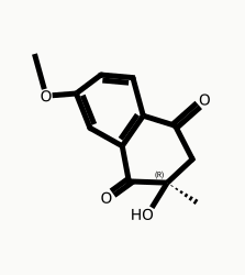 COc1ccc2c(c1)C(=O)[C@](C)(O)CC2=O